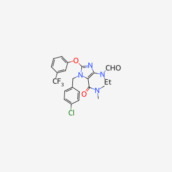 CCN(C=O)c1nc(Oc2cccc(C(F)(F)F)c2)n(Cc2ccc(Cl)cc2)c1C(=O)N(C)C